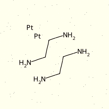 NCCN.NCCN.[Pt].[Pt]